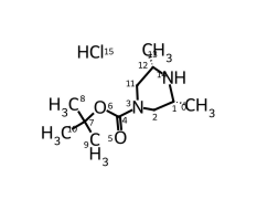 C[C@@H]1CN(C(=O)OC(C)(C)C)C[C@H](C)N1.Cl